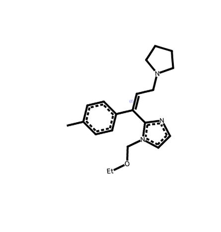 CCOCn1ccnc1/C(=C\CN1CCCC1)c1ccc(C)cc1